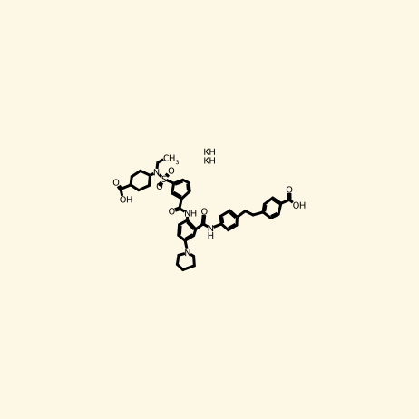 CCN(C1CCC(C(=O)O)CC1)S(=O)(=O)c1cccc(C(=O)Nc2ccc(N3CCCCC3)cc2C(=O)Nc2ccc(CCc3ccc(C(=O)O)cc3)cc2)c1.[KH].[KH]